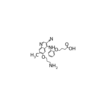 Cc1cc2ncc(C#N)c(Nc3ccccc3OCCCC(=O)O)c2cc1OCCCN